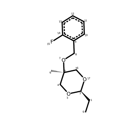 CC[C@H]1OC[C@@](C)(OCc2ccccc2F)CO1